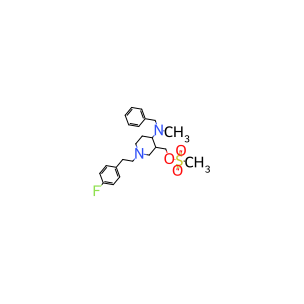 CN(Cc1ccccc1)C1CCN(CCc2ccc(F)cc2)CC1COS(C)(=O)=O